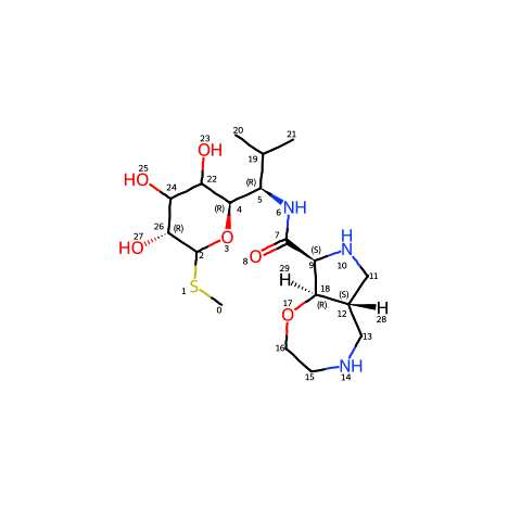 CSC1O[C@H]([C@H](NC(=O)[C@H]2NC[C@@H]3CNCCO[C@H]32)C(C)C)C(O)C(O)[C@H]1O